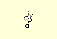 CN1C(=O)C2C=CC=C3C(c4ccccc4)=CC=C1C32